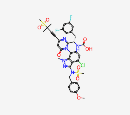 COc1ccc(CN(c2nn(C)c3c(-n4c([C@H](Cc5cc(F)cc(F)c5)NC(=O)O)nc(C#CC(C)(C)S(C)(=O)=O)cc4=O)ccc(Cl)c23)S(C)(=O)=O)cc1